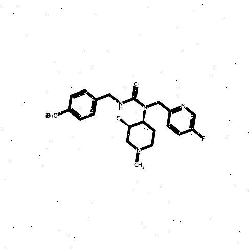 CC(C)COc1ccc(CNC(=O)N(Cc2ccc(F)cn2)[C@H]2CCN(C)C[C@H]2F)cc1